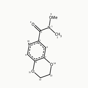 CON(C)C(=O)c1cc2c(cn1)OCCO2